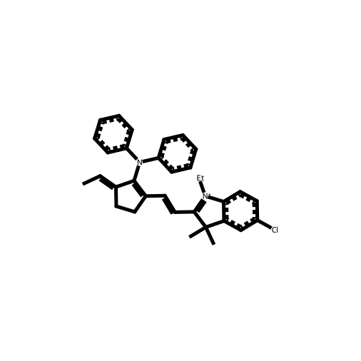 C/C=C1\CCC(/C=C/C2=[N+](CC)c3ccc(Cl)cc3C2(C)C)=C1N(c1ccccc1)c1ccccc1